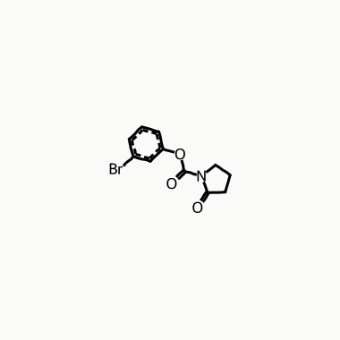 O=C1CCCN1C(=O)Oc1cccc(Br)c1